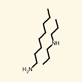 CCCCCCCCN.CCCNCCC